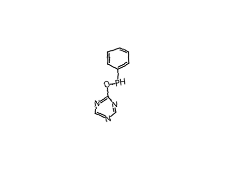 c1ccc(POc2ncncn2)cc1